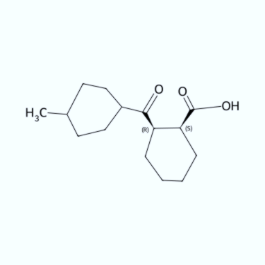 CC1CCC(C(=O)[C@@H]2CCCC[C@@H]2C(=O)O)CC1